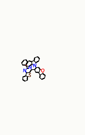 c1ccc(-c2nc(-c3cc4c(cc3-n3c5ccccc5c5ccccc53)oc3ccccc34)c3sc4ccccc4c3n2)cc1